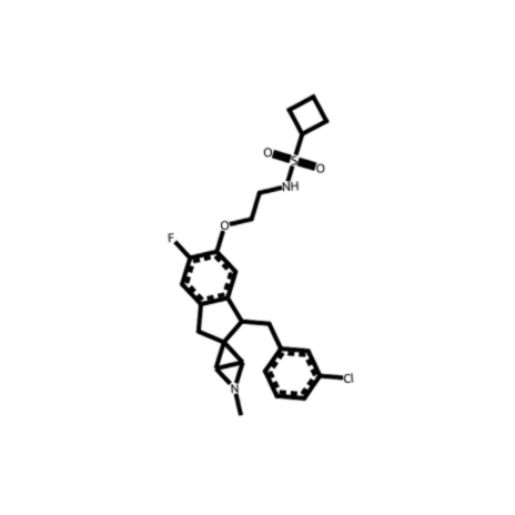 CN1C2C1C21Cc2cc(F)c(OCCNS(=O)(=O)C3CCC3)cc2C1Cc1cccc(Cl)c1